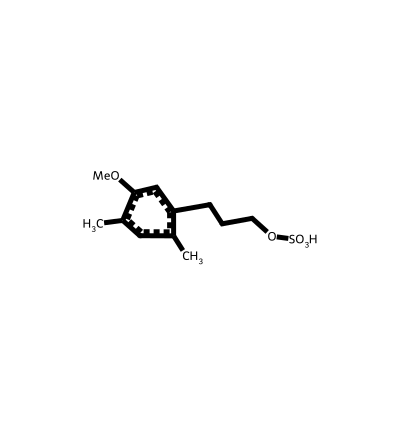 COc1cc(CCCOS(=O)(=O)O)c(C)cc1C